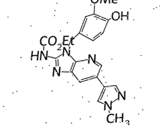 CCOC(=O)Nc1nc2cc(-c3cnn(C)c3)cnc2n1Cc1ccc(O)c(OC)c1